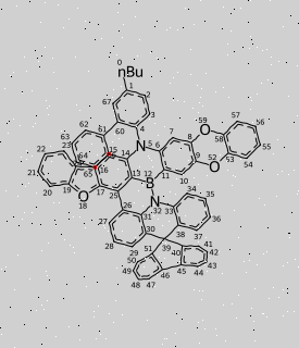 CCCCc1ccc(N2c3cc4c(cc3B3c5c2cc2c(oc6ccccc62)c5-c2cccc5c2N3c2ccccc2C52c3ccccc3-c3ccccc32)Oc2ccccc2O4)c(-c2ccccc2)c1